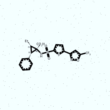 CC[C@H]1[C@@H](c2ccccc2)[C@@]1(NS(=O)(=O)c1ccc(-c2cc(C(F)(F)F)on2)s1)C(=O)O